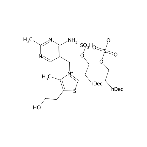 CCCCCCCCCCCCOS(=O)(=O)O.CCCCCCCCCCCCOS(=O)(=O)[O-].Cc1ncc(C[n+]2csc(CCO)c2C)c(N)n1